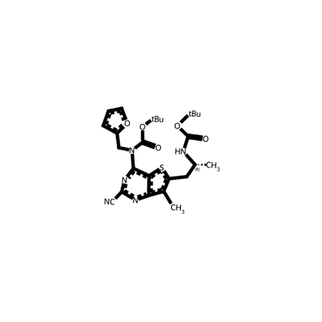 Cc1c(C[C@@H](C)NC(=O)OC(C)(C)C)sc2c(N(Cc3ccco3)C(=O)OC(C)(C)C)nc(C#N)nc12